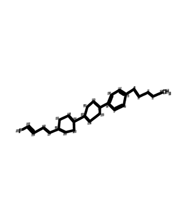 CCCCCc1ccc(C2CCC(C3CCC(CC/C=C/F)CC3)CC2)cc1